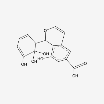 O=C(O)c1cc(O)c2c(c1)C=COC2C1C=CC=C(O)C1(O)O